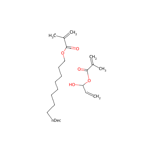 C=C(C)C(=O)OCCCCCCCCCCCCCCCCCC.C=CC(O)OC(=O)C(=C)C